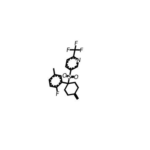 C=C1CCC(c2cc(C)ccc2F)(S(=O)(=O)c2ccc(C(F)(F)F)nc2)CC1